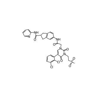 CS(=O)(=O)CCn1c(=O)c(-c2cccc(Cl)c2Cl)cn(CC(=O)Nc2ccc3c(c2)CC(C(=O)Nc2ccccn2)C3)c1=O